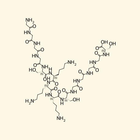 NCCCC[C@H](NC(=O)[C@H](CO)NC(=O)CNC(=O)CNC(=O)CNC(=O)CN)C(=O)N[C@@H](CCCCN)C(=O)N[C@@H](CCCCN)C(=O)N[C@@H](CO)C(=O)NCC(=O)NCC(=O)NCC(=O)NCC(=O)N[C@@H](CO)C(=O)O